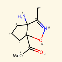 COC(=O)C12CCCC1(N)C(C)=NO2